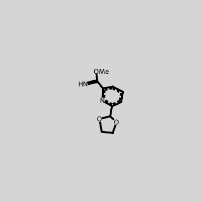 COC(=N)c1cccc(C2OCCO2)n1